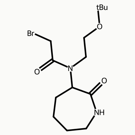 CC(C)(C)OCCN(C(=O)CBr)C1CCCCNC1=O